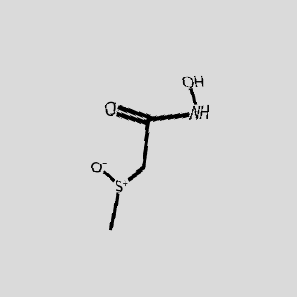 C[S+]([O-])CC(=O)NO